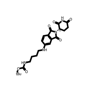 CC(C)(C)OC(=O)NCCCCNc1ccc2c(c1)C(=O)N([C@H]1CCC(=O)NC1=O)C2=O